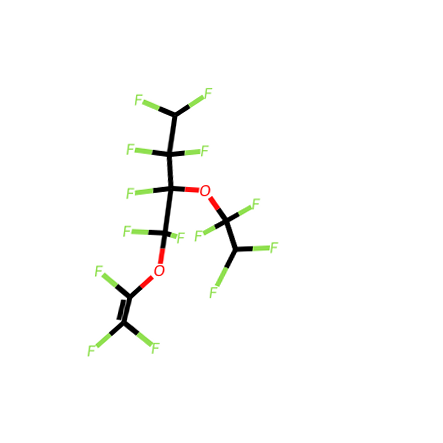 FC(F)=C(F)OC(F)(F)C(F)(OC(F)(F)C(F)F)C(F)(F)C(F)F